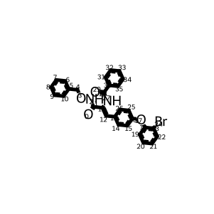 O=C(NOCc1ccccc1)/C(=C/c1ccc(Oc2ccccc2Br)cc1)NC(=O)c1ccccc1